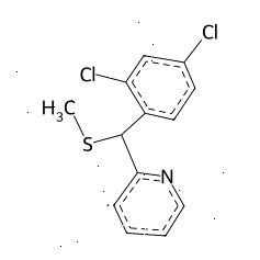 CSC(c1[c]cccn1)c1ccc(Cl)cc1Cl